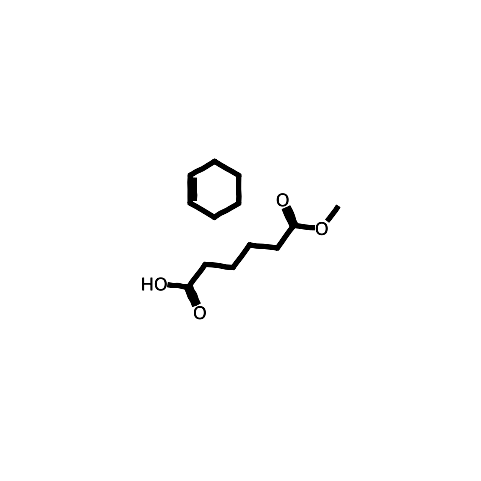 C1=CCCCC1.COC(=O)CCCCC(=O)O